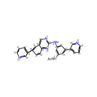 CC(=O)Nc1cc(Nc2ncc3cc(-c4cccnc4)ccc3n2)cc(-c2cccnc2)c1